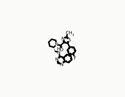 Cc1nc(C(=O)N2CCCC[C@H]2CNc2ncnc3ccccc23)c(-c2ccc(F)cc2)s1